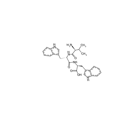 CC(C)[C@H](N)C(=O)N[C@@H](Cc1c[nH]c2ccccc12)C(=O)N[C@@H](Cc1c[nH]c2ccccc12)C(=O)O